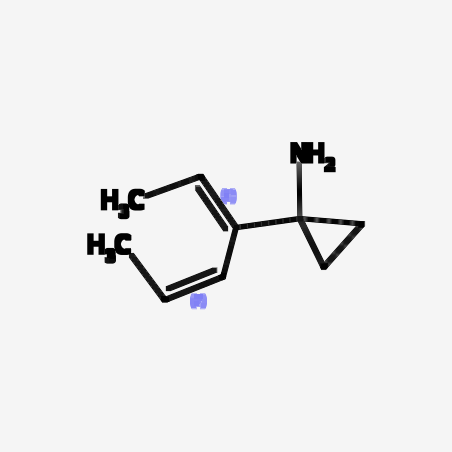 C/C=C\C(=C/C)C1(N)CC1